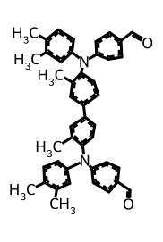 Cc1ccc(N(c2ccc(C=O)cc2)c2ccc(-c3ccc(N(c4ccc(C=O)cc4)c4ccc(C)c(C)c4)c(C)c3)cc2C)cc1C